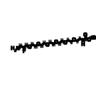 CC(C)(C)OC(=O)NCCOCCOCCOCCOCCOCCOCC(F)CN